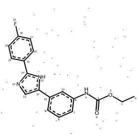 CCOC(=O)Nc1cccc(-c2cnc(-c3ccc(F)cc3)[nH]2)c1